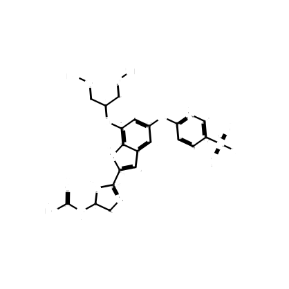 COCC(COC)Oc1cc(Oc2ccc(S(C)(=O)=O)cn2)cc2cc(C3=NCC(OC(C)=O)S3)[nH]c12